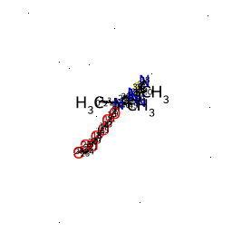 CCCCCCN(CCOCCOCCOCCOCCOC(=O)/C=C\C=O)c1ccc(/N=N/c2sc(C#N)c(C)c2C#N)c(C)c1